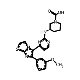 COc1cccc(-c2nc3sccn3c2-c2ccnc(N[C@@H]3CCCN(C(=O)O)C3)n2)c1